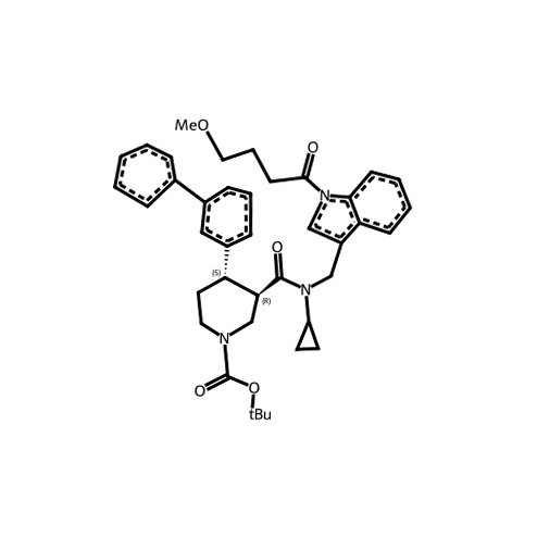 COCCCC(=O)n1cc(CN(C(=O)[C@H]2CN(C(=O)OC(C)(C)C)CC[C@@H]2c2cccc(-c3ccccc3)c2)C2CC2)c2ccccc21